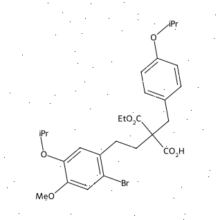 CCOC(=O)C(CCc1cc(OC(C)C)c(OC)cc1Br)(Cc1ccc(OC(C)C)cc1)C(=O)O